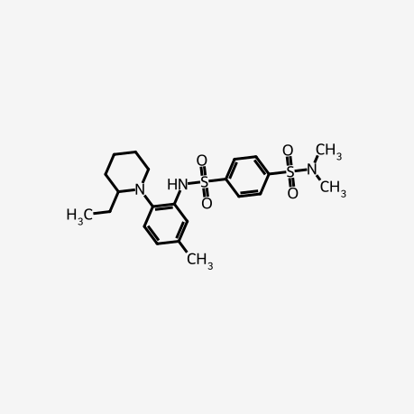 CCC1CCCCN1c1ccc(C)cc1NS(=O)(=O)c1ccc(S(=O)(=O)N(C)C)cc1